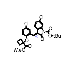 COC(=O)C1(Oc2ccc(Cl)cc2/C=C2/C(=O)N(C(=O)OC(C)(C)C)c3cc(Cl)ccc32)CCC1